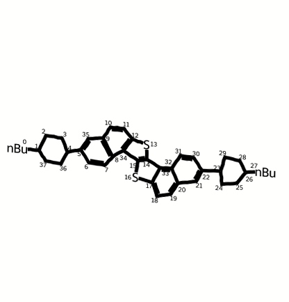 CCCCC1CCC(c2ccc3c(ccc4sc5c(sc6ccc7cc(C8CCC(CCCC)CC8)ccc7c65)c43)c2)CC1